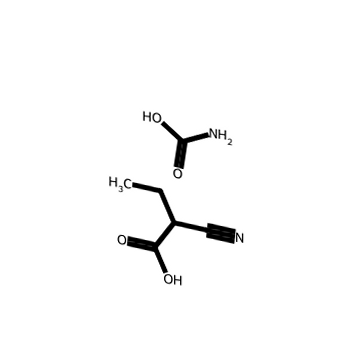 CCC(C#N)C(=O)O.NC(=O)O